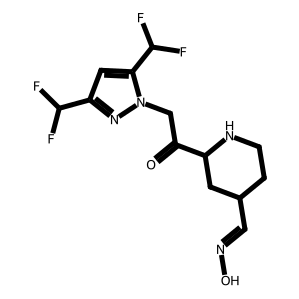 O=C(Cn1nc(C(F)F)cc1C(F)F)C1CC(C=NO)CCN1